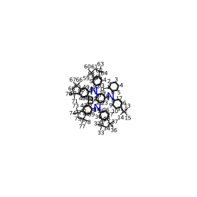 Cc1ccccc1N(c1ccc(C(C)(C)C)cc1)c1cc2c3c(c1)N(c1ccc4c(c1)C(C)(C)CC4(C)C)c1cc4c(cc1B3c1cc3c(cc1N2c1ccc2c(c1)C(C)(C)CC2(C)C)C(C)(C)CC3(C)C)C(C)(C)CC4(C)C